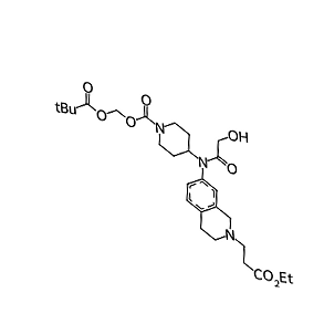 CCOC(=O)CCN1CCc2ccc(N(C(=O)CO)C3CCN(C(=O)OCOC(=O)C(C)(C)C)CC3)cc2C1